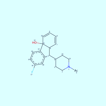 CC(=O)N1CCC(CC2C=CC=CC2(O)c2ccc(F)cc2)CC1